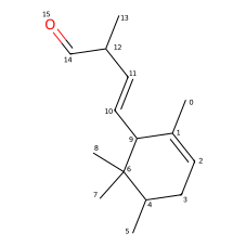 CC1=CCC(C)C(C)(C)C1C=CC(C)C=O